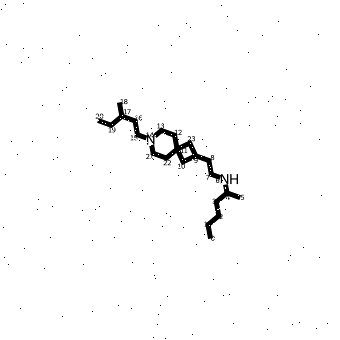 CCCCC(C)NCCC1CC2(CCN(CCC(C)CC)CC2)C1